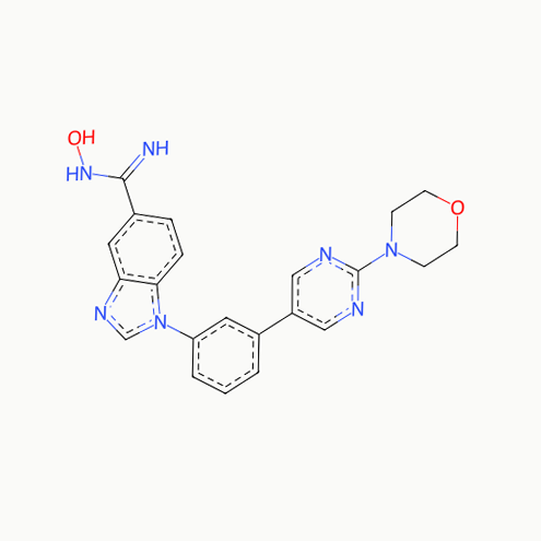 N=C(NO)c1ccc2c(c1)ncn2-c1cccc(-c2cnc(N3CCOCC3)nc2)c1